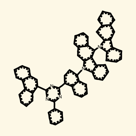 c1ccc(-c2nc(-c3ccc(-n4c5ccccc5c5c(-n6c7ccccc7c7cc8ccccc8cc76)c6ccccc6cc54)c4ccccc34)nc(-c3cc4ccccc4c4ccccc34)n2)cc1